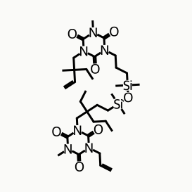 C=CCn1c(=O)n(C)c(=O)n(CC(CC)(CCC)CC[Si](C)(C)O[Si](C)(C)CCCn2c(=O)n(C)c(=O)n(CC(C)(C=C)CC)c2=O)c1=O